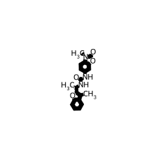 Cc1c([C@H](C)NC(=O)Nc2ccc3c(c2)oc(=O)n3C)oc2ccccc12